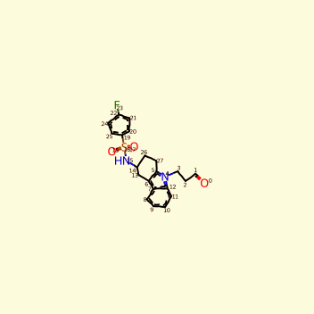 O=CCCn1c2c(c3ccccc31)CC(NS(=O)(=O)c1ccc(F)cc1)CC2